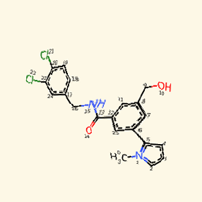 Cn1cccc1-c1cc(CO)cc(C(=O)NCc2ccc(Cl)c(Cl)c2)c1